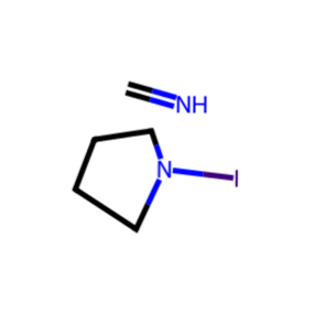 C=N.IN1CCCC1